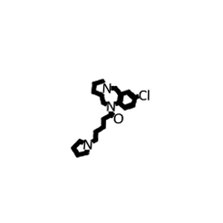 O=C(CCCCN1CCCC1)N1CC2CCCN2Cc2cc(Cl)ccc21